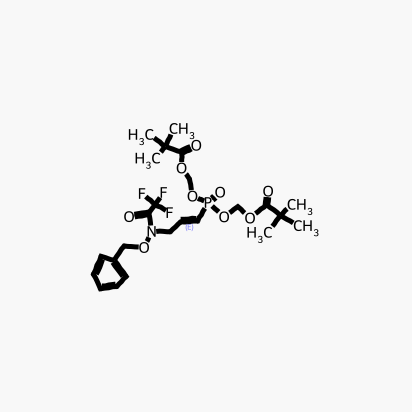 CC(C)(C)C(=O)OCOP(=O)(/C=C/CN(OCc1ccccc1)C(=O)C(F)(F)F)OCOC(=O)C(C)(C)C